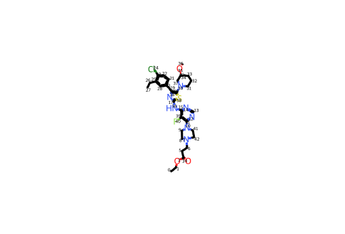 CCOC(=O)CCN1CCN(c2ncnc(Nc3nc(-c4ccc(Cl)c(CC)c4)c(N4CCC[C@H](OC)C4)s3)c2F)CC1